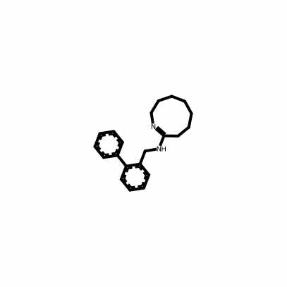 c1ccc(-c2ccccc2CN/C2=N/CCCCCCC2)cc1